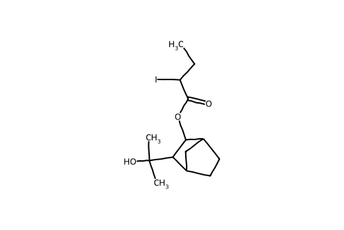 CCC(I)C(=O)OC1C2CCC(C2)C1C(C)(C)O